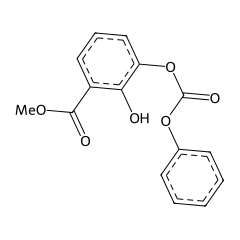 COC(=O)c1cccc(OC(=O)Oc2ccccc2)c1O